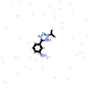 CC(C)N1N=NC(c2cccc(N)c2)N1